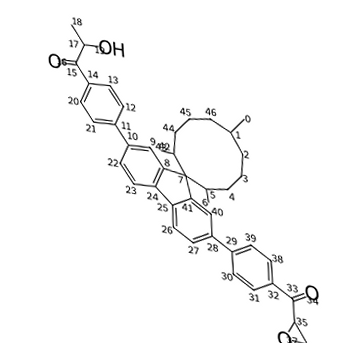 CC1CCCC(C)C2(c3cc(-c4ccc(C(=O)C(C)O)cc4)ccc3-c3ccc(-c4ccc(C(=O)C5CO5)cc4)cc32)C(C)CCC1